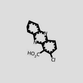 O=C(O)c1c(Cl)ccc2nc3ccccc3nc12